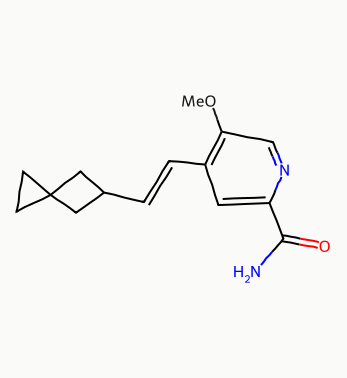 COc1cnc(C(N)=O)cc1C=CC1CC2(CC2)C1